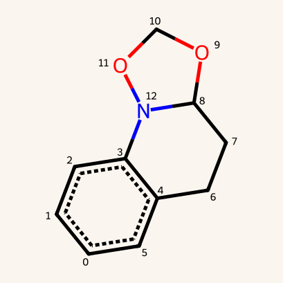 c1ccc2c(c1)CCC1OCON21